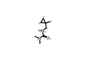 CN(C)C(=O)NCC1(C)CC1